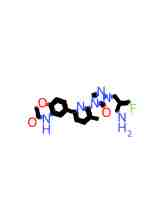 Cc1ccc(-c2ccc3c(c2)NC(=O)CO3)nc1-n1cnn(C/C(=C/F)CN)c1=O